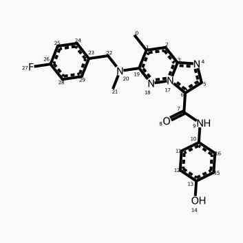 Cc1cc2ncc(C(=O)Nc3ccc(O)cc3)n2nc1N(C)Cc1ccc(F)cc1